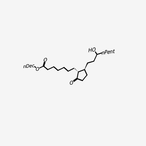 CCCCCCCCCCOC(=O)CCCCCC[C@H]1C(=O)CC[C@@H]1CCC(O)CCCCC